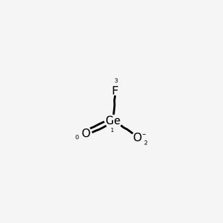 [O]=[Ge]([O-])[F]